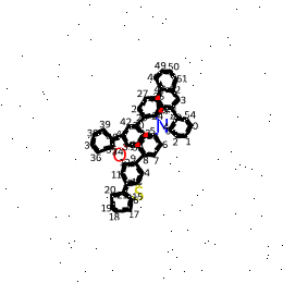 c1ccc(N(c2ccc(-c3ccc4c(c3)sc3ccccc34)cc2)c2ccccc2-c2ccc3oc4ccccc4c3c2)c(-c2ccc3ccccc3c2)c1